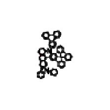 c1ccc(N(c2ccc3c4ccccc4c4ccccc4c3c2)c2cc3c(cc2-c2cccc4cc5c6ccccc6n(-c6ccccc6)c5cc24)-c2ccccc2C32c3ccccc3-c3ccccc32)cc1